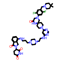 CC1(C)CCN(Cc2cc(F)c(N3CC(=O)NC4(CCN(c5cc(NCCN6CCN(CCCNc7cccc8c7CN(C7CCC(=O)NC7=O)C8=O)CC6)ncn5)CC4)C3)cc2F)CC1